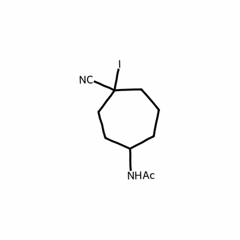 CC(=O)NC1CCCC(I)(C#N)CC1